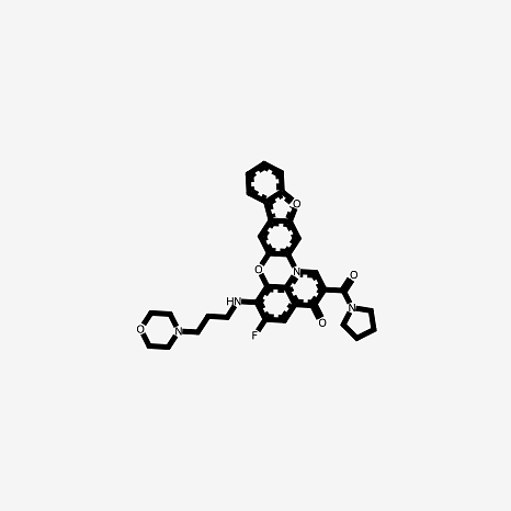 O=C(c1cn2c3c(c(NCCCN4CCOCC4)c(F)cc3c1=O)Oc1cc3c(cc1-2)oc1ccccc13)N1CCCC1